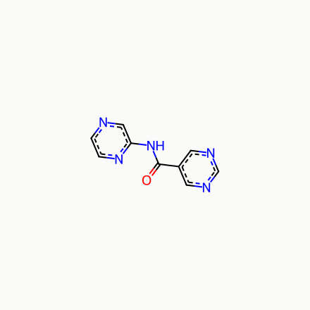 O=C(Nc1cnccn1)c1cncnc1